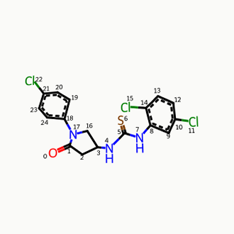 O=C1CC(NC(=S)Nc2cc(Cl)ccc2Cl)CN1c1ccc(Cl)cc1